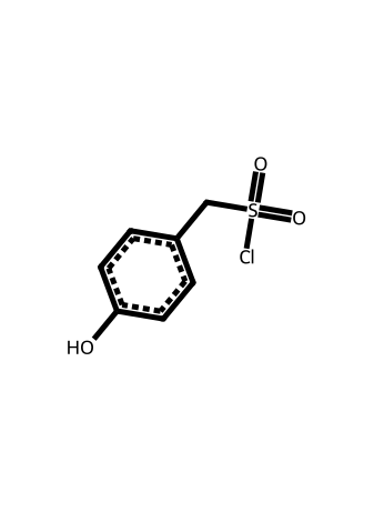 O=S(=O)(Cl)Cc1ccc(O)cc1